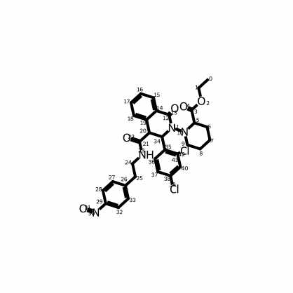 CCOC(=O)C1CCCCN1N1C(=O)c2ccccc2C(C(=O)NCCc2ccc(N=O)cc2)C1c1ccc(Cl)cc1Cl